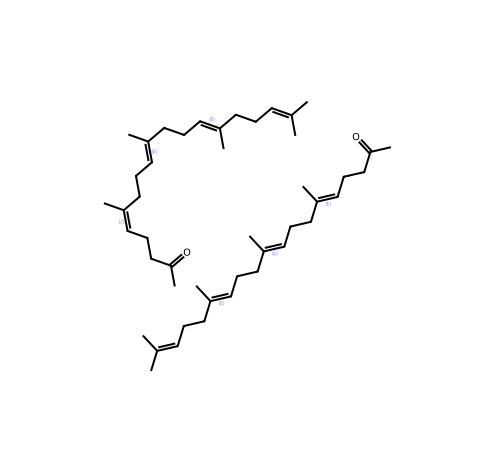 CC(=O)CC/C=C(/C)CC/C=C(\C)CC/C=C(\C)CCC=C(C)C.CC(=O)CC/C=C(\C)CC/C=C(\C)CC/C=C(\C)CCC=C(C)C